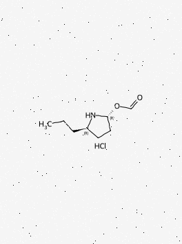 CCC[C@@H]1CC[C@@H](OC=O)N1.Cl